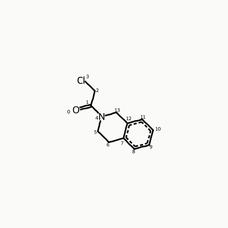 O=C(CCl)N1CCc2ccccc2C1